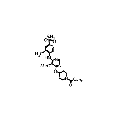 COc1c(Nc2cnc(S(C)(=O)=O)cc2C)ncnc1OC1CCN(C(=O)OC(C)C)CC1